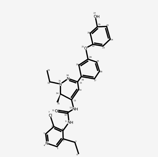 CCc1cncc(Cl)c1NC(=O)NC1=CC(c2cccc(Oc3cccc(O)c3)c2)=NN(CC)[C@@H]1C